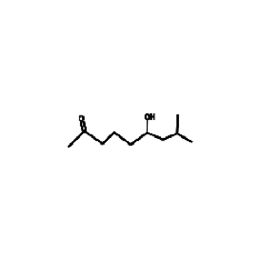 CC(=O)CCCC(O)CC(C)C